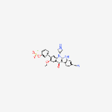 CCOc1cc2c(=O)c3c4ccc(C#N)cc4[nH]c3n(C3CNC3)c2cc1-c1cccc(OS(=O)(=O)F)c1